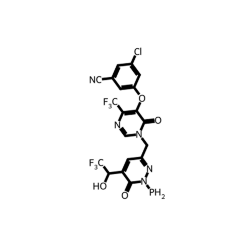 N#Cc1cc(Cl)cc(Oc2c(C(F)(F)F)ncn(Cc3cc(C(O)C(F)(F)F)c(=O)n(P)n3)c2=O)c1